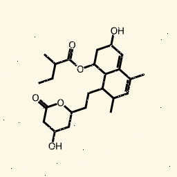 CCC(C)C(=O)OC1CC(O)C=C2C(C)=CC(C)C(CCC3CC(O)CC(=O)O3)C21